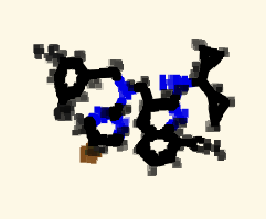 Cc1cccc2cc(CN(Cc3cc(C(F)(F)F)cc(C(F)(F)F)c3)c3ncc(Br)cn3)c(NC(C3CC3)C3CC3)nc12